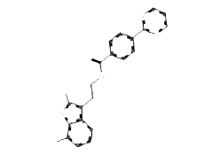 Cc1[nH]c2c(F)cccc2c1CCNC(=O)c1ccc(-c2ncccn2)cc1